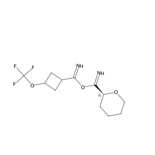 N=C(OC(=N)[C@@H]1CCCCO1)C1CC(OC(F)(F)F)C1